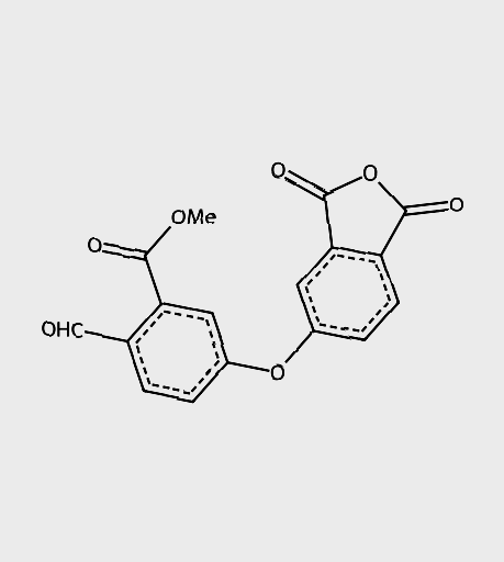 COC(=O)c1cc(Oc2ccc3c(c2)C(=O)OC3=O)ccc1C=O